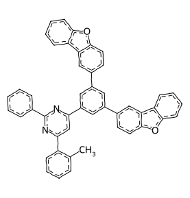 Cc1ccccc1-c1cc(-c2cc(-c3ccc4oc5ccccc5c4c3)cc(-c3ccc4oc5ccccc5c4c3)c2)nc(-c2ccccc2)n1